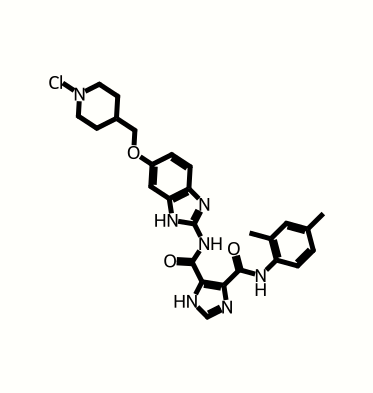 Cc1ccc(NC(=O)c2nc[nH]c2C(=O)Nc2nc3ccc(OCC4CCN(Cl)CC4)cc3[nH]2)c(C)c1